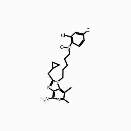 Cc1nc(N)c2nc(CC3CC3)n(CCCCC[S+]([O-])c3ccc(Cl)cc3Cl)c2c1C